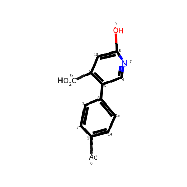 CC(=O)c1ccc(-c2cnc(O)cc2C(=O)O)cc1